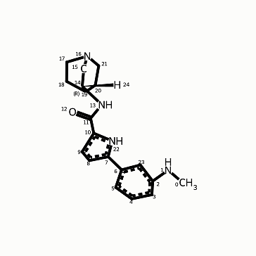 CNc1cccc(-c2ccc(C(=O)N[C@H]3CN4CCC3CC4)[nH]2)c1